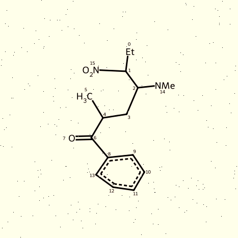 CCC(C(CC(C)C(=O)c1ccccc1)NC)[N+](=O)[O-]